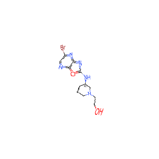 OCCN1CCC[C@@H](Nc2nc3nc(Br)cnc3o2)C1